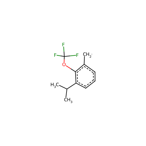 [CH2]c1cccc(C(C)C)c1OC(F)(F)F